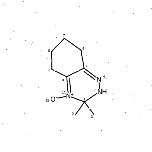 CC1(C)NN=C2CCCCC2=[N+]1[O-]